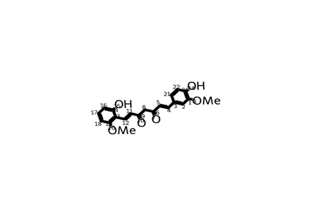 COc1cc(C=CC(=O)CC(=O)C=Cc2c(O)cccc2OC)ccc1O